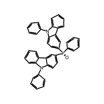 O=P(c1ccccc1)(c1ccc2c(c1)c1ccccc1n2-c1ccccc1)c1ccc2c(c1)c1ccccc1n2-c1ccccc1